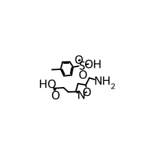 Cc1ccc(S(=O)(=O)O)cc1.NCC1CC(CCC(=O)O)=NO1